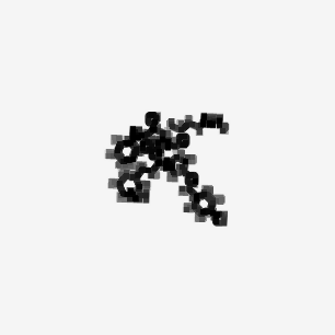 NCCCC[C@H](NC(=O)[C@@H]1C[C@@H](OCc2ccc(Cl)cc2)CN1C(=O)CCC1CCCNC1)C(=O)c1nc2ccccc2o1